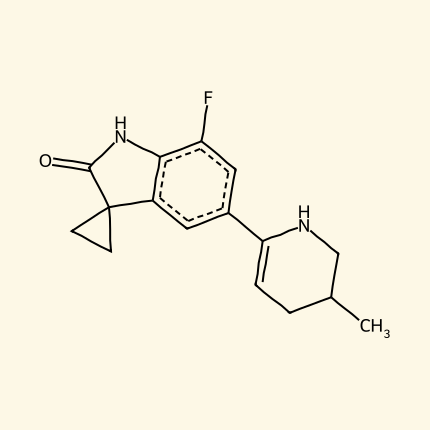 CC1CC=C(c2cc(F)c3c(c2)C2(CC2)C(=O)N3)NC1